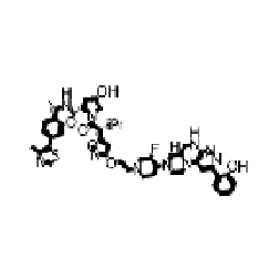 Cc1ncsc1-c1ccc([C@H](C)NC(=O)[C@@H]2C[C@@H](O)CN2C(=O)[C@@H](c2cc(OCCN3CCC(N4CCN5c6cc(-c7ccccc7O)nnc6NC[C@H]5C4)C(F)C3)no2)C(C)C)cc1